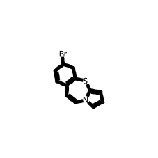 BrC1C=CC2=C(C1)Sc1cccn1C=C2